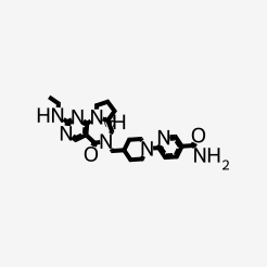 CCNc1ncc2c(n1)N1CCC[C@H]1CN(CC1CCN(c3ccc(C(N)=O)cn3)CC1)C2=O